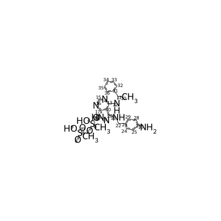 CS(=O)(=O)O.CS(=O)(=O)O.C[C@@H](Nc1ncnc2[nH]nc(NCc3ccc(N)cc3)c12)c1ccccc1